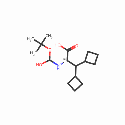 CC(C)(C)OC(O)N[C@H](C(=O)O)C(C1CCC1)C1CCC1